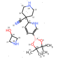 CC1(C)OB(C2=CNC(C3(C#N)CCNCC3)C=C2)OC1(C)C.OC1CNC1